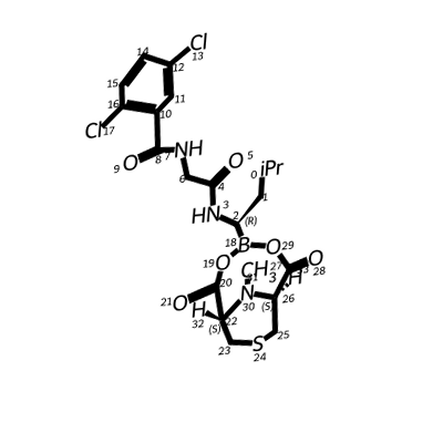 CC(C)C[C@H](NC(=O)CNC(=O)c1cc(Cl)ccc1Cl)B1OC(=O)[C@H]2CSC[C@H](C(=O)O1)N2C